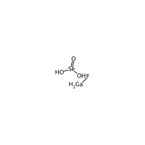 O=[Se](O)O.[F][GaH2]